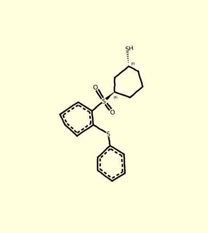 O=S(=O)(c1ccccc1Sc1ccccc1)[C@@H]1CCC[C@@H](S)C1